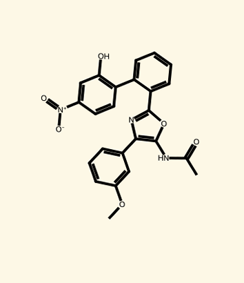 COc1cccc(-c2nc(-c3ccccc3-c3ccc([N+](=O)[O-])cc3O)oc2NC(C)=O)c1